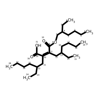 CCCCC(CC)COC(=O)/C(CC(CC)CCCC)=C(/CC(CC)CCCC)C(=O)O